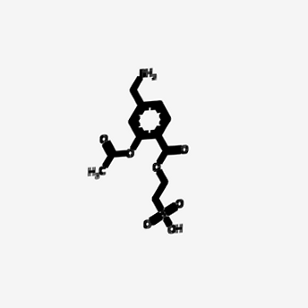 BCc1ccc(C(=O)OCCS(=O)(=O)O)c(OC(C)=O)c1